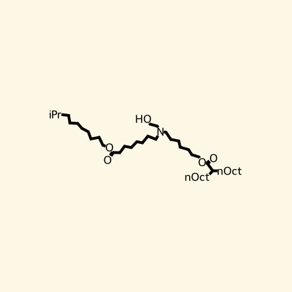 CCCCCCCCC(CCCCCCCC)C(=O)OCCCCCCCN(CCO)CCCCCCCC(=O)OCCCCCCCCC(C)C